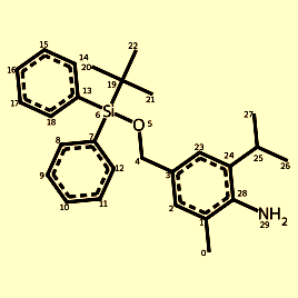 Cc1cc(CO[Si](c2ccccc2)(c2ccccc2)C(C)(C)C)cc(C(C)C)c1N